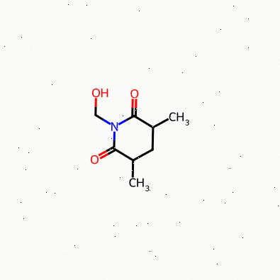 CC1CC(C)C(=O)N(CO)C1=O